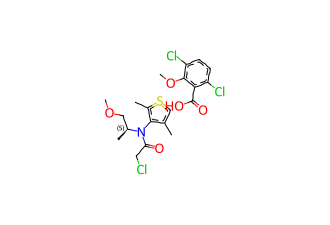 COC[C@H](C)N(C(=O)CCl)c1c(C)csc1C.COc1c(Cl)ccc(Cl)c1C(=O)O